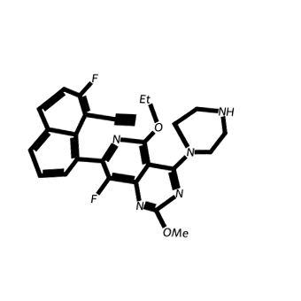 C#Cc1c(F)ccc2cccc(-c3nc(OCC)c4c(N5CCNCC5)nc(OC)nc4c3F)c12